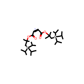 CC(C)[Si](CC(C)(C)OC(=O)/C=C\C(=O)OC(C)(C)C[Si](C(C)C)(C(C)C)C(C)C)(C(C)C)C(C)C